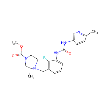 COC(=O)N1CCN(Cc2cccc(NC(=O)Nc3ccc(C)nc3)c2F)[C@H](C)C1